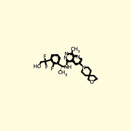 Cc1nnc(N[C@H](C)c2cccc(C(F)(F)CO)c2F)c2cc(N3CCC4(CCOC4)CC3)cnc12